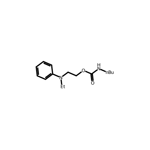 CCCCNC(=O)OCCN(CC)c1ccccc1